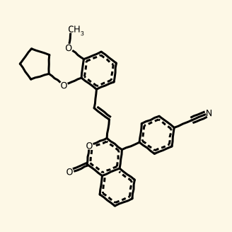 COc1cccc(C=Cc2oc(=O)c3ccccc3c2-c2ccc(C#N)cc2)c1OC1CCCC1